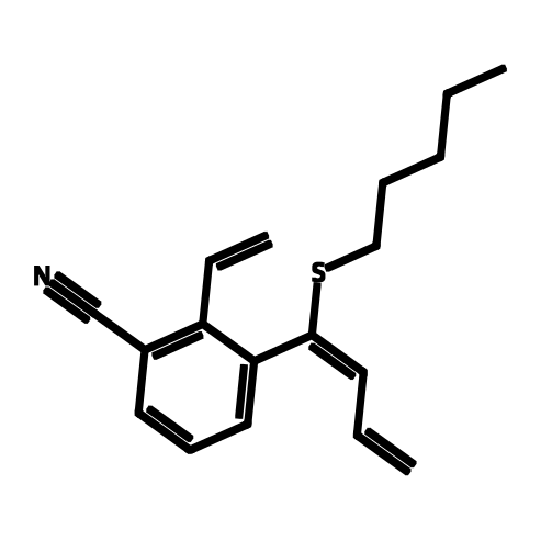 C=C/C=C(/SCCCCC)c1cccc(C#N)c1C=C